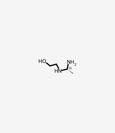 C[C@@H](N)NCCO